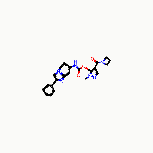 Cn1ncc(C(=O)N2CCC2)c1OC(=O)Nc1ccn2cc(-c3ccccc3)nc2c1